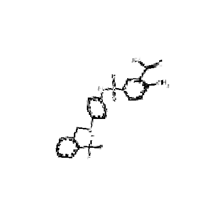 Cc1ccc(S(=O)(=O)Nc2ccc(SCc3ccccc3C(F)(F)F)cc2)cc1C(=O)O